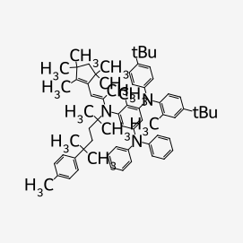 CC1=C(/C=C(\C)N(c2cc(N(c3ccccc3)c3ccccc3)cc(N(c3ccc(C(C)(C)C)cc3)c3ccc(C(C)(C)C)cc3C)c2C)C(C)(C)CCC(C)(C)c2ccc(C)cc2)C(C)(C)CC1(C)C